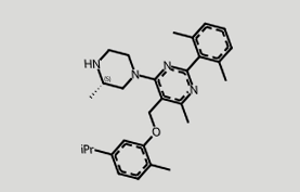 Cc1ccc(C(C)C)cc1OCc1c(C)nc(-c2c(C)cccc2C)nc1N1CCN[C@@H](C)C1